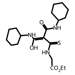 CCOC(=O)CNC(=S)/C(C(=O)NC1CCCCC1)=C(\O)NC1CCCCC1